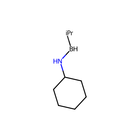 CC(C)BNC1CCCCC1